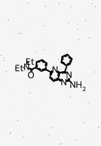 CCN(CC)C(=O)c1cccc(-c2ccc3nc(N)nc(-c4ccccc4)c3n2)c1